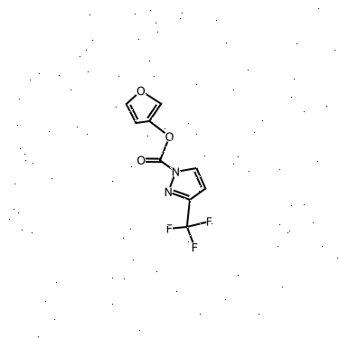 O=C(Oc1ccoc1)n1ccc(C(F)(F)F)n1